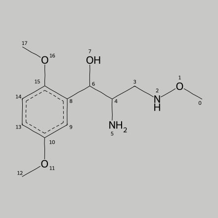 CONCC(N)C(O)c1cc(OC)ccc1OC